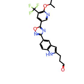 CC(C)Oc1ncc(-c2nc(-c3ccc4[nH]c(CCC=O)cc4c3)no2)cc1C(F)(F)F